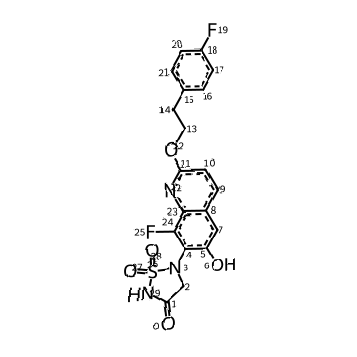 O=C1CN(c2c(O)cc3ccc(OCCc4ccc(F)cc4)nc3c2F)S(=O)(=O)N1